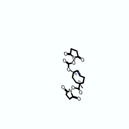 C[C@]1(C(=O)ON2C(=O)CCC2=O)CC/C=C/[C@H](OC(=O)ON2C(=O)CCC2=O)CC1